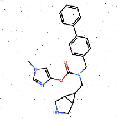 Cn1cnc(OC(=O)N(Cc2ccc(-c3ccccc3)cc2)CC2C3CNCC32)c1